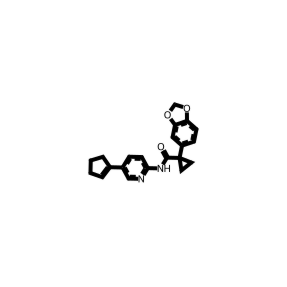 O=C(Nc1ccc(C2=CCCC2)cn1)C1(c2ccc3c(c2)OCO3)CC1